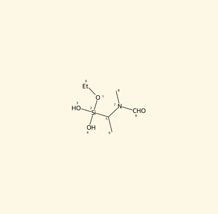 CCO[Si](O)(O)C(C)N(C)C=O